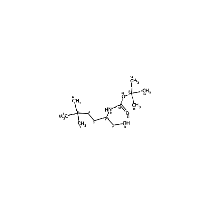 CC(C)(C)CCC(CO)NC(=O)OC(C)(C)C